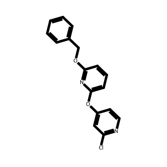 Clc1cc(Oc2cccc(OCc3ccccc3)n2)ccn1